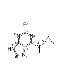 Fc1nc(NC2CC2)c2nc[nH]c2n1